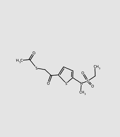 CCS(=O)(=O)N(C)c1ccc(C(=O)CSC(C)=O)s1